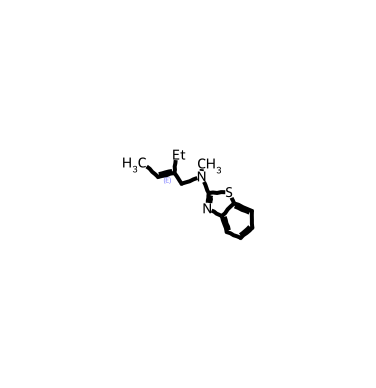 C/C=C(\CC)CN(C)c1nc2ccccc2s1